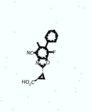 Cc1c(-c2ccccc2)c(F)c2oc([C@@H]3C[C@H]3C(=O)O)nc2c1C#N